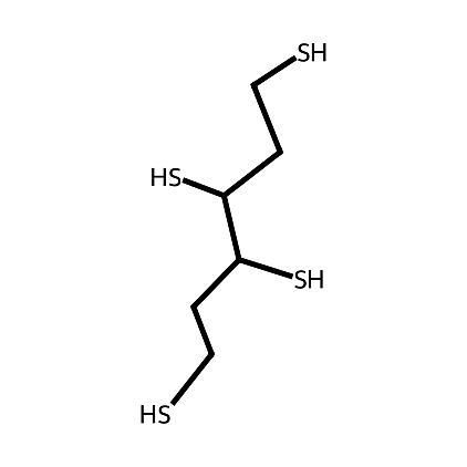 SCCC(S)C(S)CCS